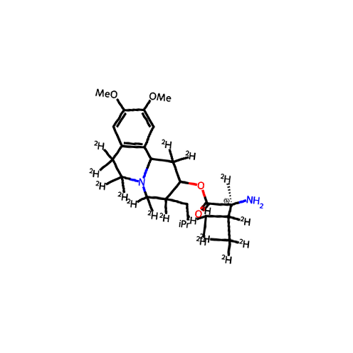 [2H]C1([2H])C2c3cc(OC)c(OC)cc3C([2H])([2H])C([2H])([2H])N2C([2H])([2H])C([2H])(CC(C)C)C1OC(=O)[C@@]([2H])(N)C([2H])(C([2H])([2H])[2H])C([2H])([2H])[2H]